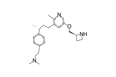 Cc1ncc(OC[C@@H]2CCN2)cc1CC[C@@H](C)c1ccc(CCN(C)C)cc1